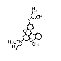 CCC(CC)N=c1ccc2c(-c3ccccc3C(=O)O)c3ccc(N(CC)CC)cc3oc-2c1